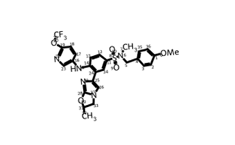 COc1ccc(CN(C)S(=O)(=O)c2ccc(Nc3ccc(OC(F)(F)F)nc3)c(-c3cn4c(n3)OC(C)C4)c2)cc1